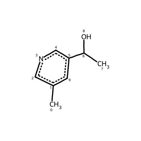 Cc1cncc(C(C)O)c1